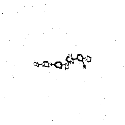 N#Cc1cc(-c2nccc(Nc3ccc(N4CCN(C5COC5)CC4)cc3)n2)ccc1N1CCCC1